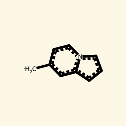 [CH2]c1ccn2cccc2c1